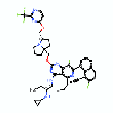 C#Cc1c(F)ccc2cccc(-c3nc4c5c(nc(OC[C@@]67CCCN6[C@H](COc6ccnc(C(F)(F)F)n6)CC7)nc5c3F)N[C@@H]([C@H](CC)NC3CC3)CCC4)c12